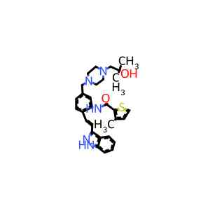 Cc1ccsc1C(=O)Nc1cc(CN2CCN(CC(C)(C)O)CC2)ccc1/C=C/c1n[nH]c2ccccc12